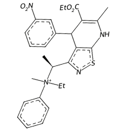 CCOC(=O)C1=C(C)Nc2snc([C@H](C)[N+](C)(CC)c3ccccc3)c2C1c1cccc([N+](=O)[O-])c1